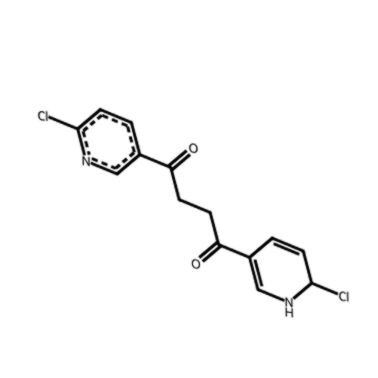 O=C(CCC(=O)c1ccc(Cl)nc1)C1=CNC(Cl)C=C1